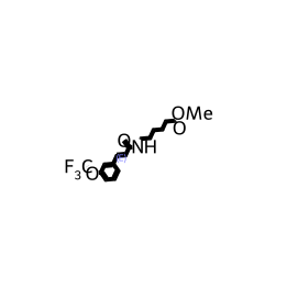 COC(=O)CCCCCNC(=O)/C=C/c1cccc(OC(F)(F)F)c1